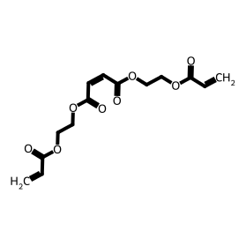 C=CC(=O)OCCOC(=O)/C=C\C(=O)OCCOC(=O)C=C